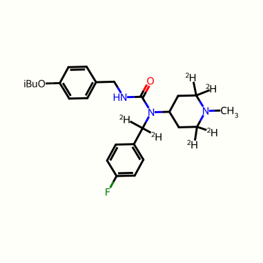 [2H]C1([2H])CC(N(C(=O)NCc2ccc(OCC(C)C)cc2)C([2H])([2H])c2ccc(F)cc2)CC([2H])([2H])N1C